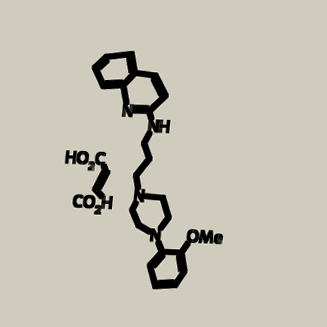 COc1ccccc1N1CCN(CCCNc2ccc3ccccc3n2)CC1.O=C(O)/C=C/C(=O)O